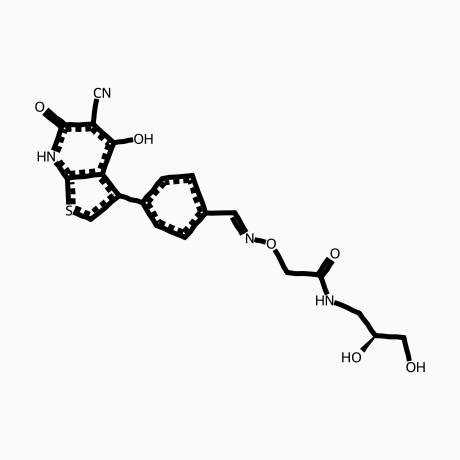 N#Cc1c(O)c2c(-c3ccc(C=NOCC(=O)NC[C@H](O)CO)cc3)csc2[nH]c1=O